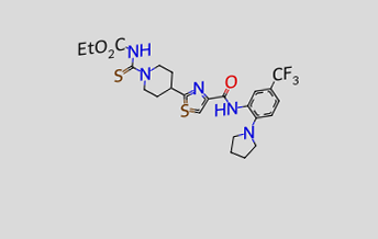 CCOC(=O)NC(=S)N1CCC(c2nc(C(=O)Nc3cc(C(F)(F)F)ccc3N3CCCC3)cs2)CC1